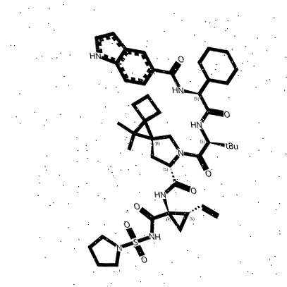 C=C[C@@H]1C[C@]1(NC(=O)[C@@H]1C[C@@]2(CN1C(=O)[C@@H](NC(=O)[C@@H](NC(=O)c1ccc3[nH]ccc3c1)C1CCCCC1)C(C)(C)C)C(C)(C)C21CCC1)C(=O)NS(=O)(=O)N1CCCC1